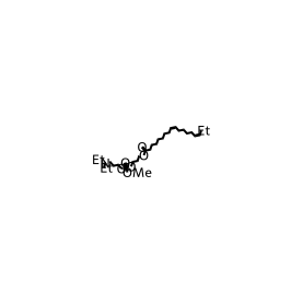 CC/C=C\CCCC/C=C\CCCCCCCC(=O)OCCCOP(=O)(OC)OCCCN(CC)CC